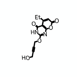 CCc1cc(=O)oc2nc(OCC#CCO)[nH]c(=O)c12